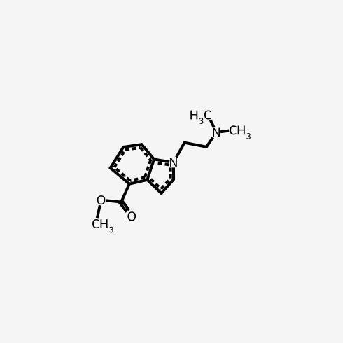 COC(=O)c1cccc2c1ccn2CCN(C)C